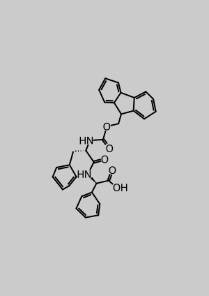 O=C(N[C@@H](Cc1ccccc1)C(=O)N[C@@H](C(=O)O)c1ccccc1)OCC1c2ccccc2-c2ccccc21